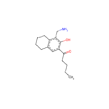 CCCCC(=O)c1cc2c(c(CN)c1O)CCCC2